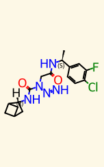 C[C@H](NC(=O)CN(N=N)C(=O)N[C@@H]1CC2CC1C2)c1ccc(Cl)c(F)c1